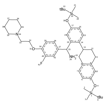 CC(C)(C)[Si](C)(C)Oc1ccc2c(c1)CCC(c1ccc(O[Si](C)(C)C(C)(C)C)cc1C(N)c1ccc(OCCN3CCCCC3)c(F)c1)C2